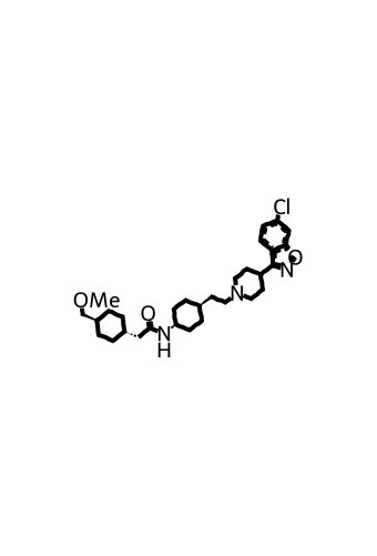 COC[C@H]1CC[C@H](CC(=O)N[C@H]2CC[C@H](CCN3CCC(c4noc5cc(Cl)ccc45)CC3)CC2)CC1